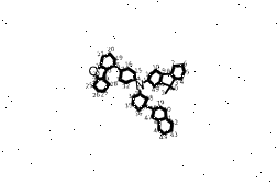 CC1(C)c2ccccc2-c2ccc(N(c3ccc(-c4cccc5oc6ccccc6c45)cc3)c3cccc(-c4ccc5ccccc5c4)c3)cc21